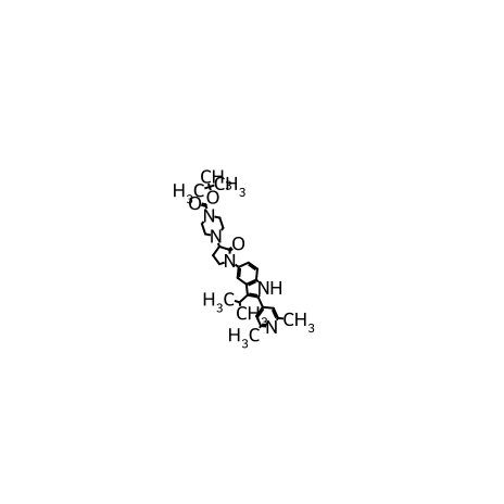 Cc1cc(-c2[nH]c3ccc(N4CCC(N5CCN(C(=O)OC(C)(C)C)CC5)C4=O)cc3c2C(C)C)cc(C)n1